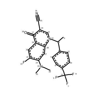 CC(c1ccc(C(F)(F)F)cc1)n1cc(C#N)c(=O)c2cc(F)c(N(C)C)cc21